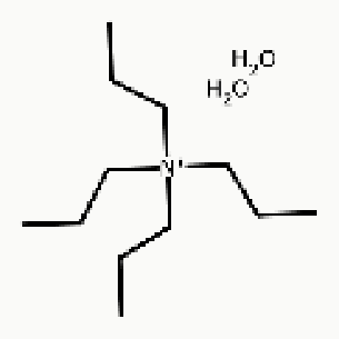 CCC[N+](CCC)(CCC)CCC.O.O